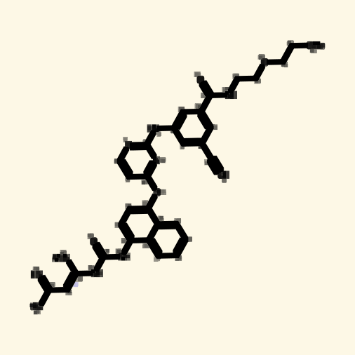 C#Cc1cc(Nc2nccc(Oc3ccc(NC(=O)N/C(=C/C(=N)C(C)(C)C)NC)c4ccccc34)n2)cc(C(=O)NCCOCCOC)c1